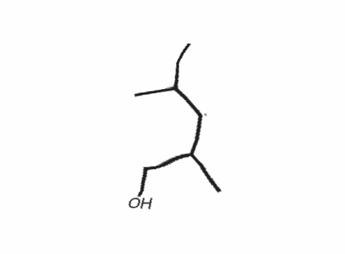 CC(C)[CH]C(C)CO